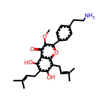 COc1c(-c2ccc(CCN)cc2)oc2c(CC=C(C)C)c(O)c(CC=C(C)C)c(O)c2c1=O